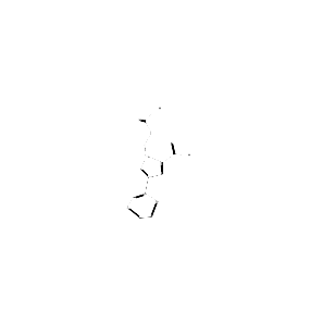 O=C(O)CCn1cc(-c2ccccc2)cc1C(=O)O